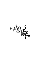 CCCC1CC(NC(=O)[C@@H]2CCCN2C(=O)[C@@H](N)C(C)(C)C)(C(=O)C(=O)NC2CC2)C1